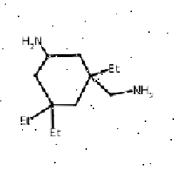 CCC1(CC)CC(N)CC(CC)(CN)C1